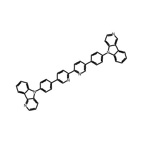 c1ccc2c(c1)c1cnccc1n2-c1ccc(-c2ccc(-c3ccc(-c4ccc(-n5c6ccccc6c6ncccc65)cc4)cn3)nc2)cc1